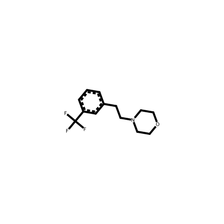 FC(F)(F)c1cccc(CCN2CCOCC2)c1